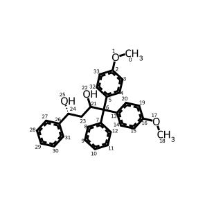 COc1ccc(C(c2ccccc2)(c2ccc(OC)cc2)C(O)C[C@@H](O)c2ccccc2)cc1